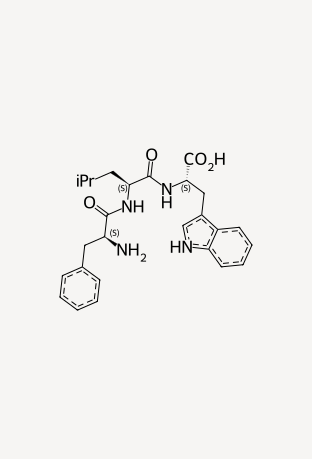 CC(C)C[C@H](NC(=O)[C@@H](N)Cc1ccccc1)C(=O)N[C@@H](Cc1c[nH]c2ccccc12)C(=O)O